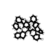 Clc1ccc2c(c1)C1(c3ccccc3-c3ccccc31)c1cccc(-c3ccc4ccccc4c3N(c3ccccc3)c3ccc(-c4ccccc4)c4oc5ccccc5c34)c1S2